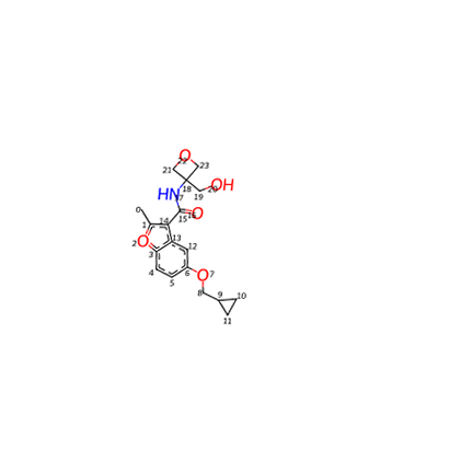 Cc1oc2ccc(OCC3CC3)cc2c1C(=O)NC1(CO)COC1